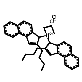 CCCCC1=Cc2c(ccc3ccccc23)[CH]1[Hf+2]1([CH]2C(CCCC)=Cc3c2ccc2ccccc32)[CH2]C[CH2]1.[Cl-].[Cl-]